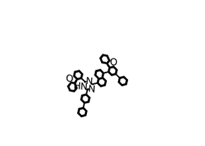 c1ccc(-c2ccc(C3=NC(c4cccc5c(-c6cc(-c7ccccc7)cc7oc8ccccc8c67)cccc45)=NC(c4cccc5oc6ccccc6c45)N3)cc2)cc1